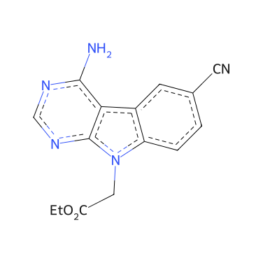 CCOC(=O)Cn1c2ccc(C#N)cc2c2c(N)ncnc21